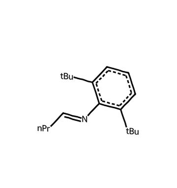 CCCC=Nc1c(C(C)(C)C)cccc1C(C)(C)C